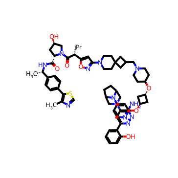 Cc1ncsc1-c1ccc([C@H](C)NC(=O)[C@@H]2C[C@@H](O)CN2C(=O)[C@@H](c2cc(N3CCC4(CC3)CC(CN3CCC(O[C@H]5C[C@H](Oc6cc(N7C8CCC7CN(c7cc(-c9ccccc9O)nnc7N)C8)ccn6)C5)CC3)C4)no2)C(C)C)cc1